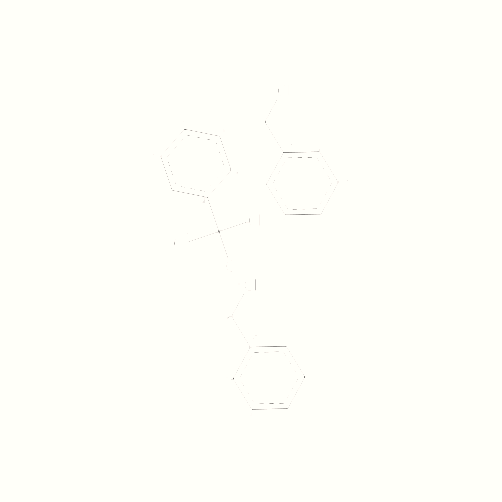 ClC(Cl)(Cl)c1ccccc1.ClCc1ccccc1.ClCc1ccccc1